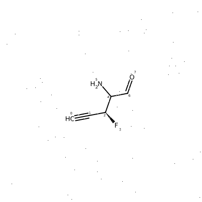 C#C[C@H](F)C(N)C=O